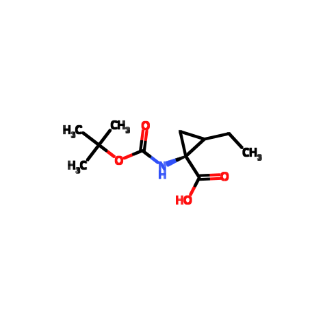 CCC1C[C@@]1(NC(=O)OC(C)(C)C)C(=O)O